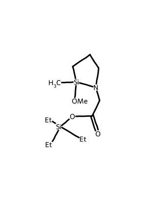 CC[Si](CC)(CC)OC(=O)CN1CCC[Si]1(C)OC